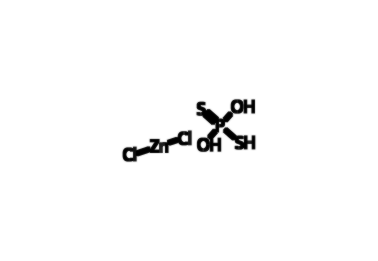 OP(O)(=S)S.[Cl][Zn][Cl]